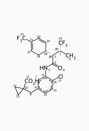 C[C@H]([C@H](C(=O)Nc1cc(CC2(C(=O)O)CC2)ccc1Cl)C1C=CC(C(F)(F)F)=CC1)C(F)(F)F